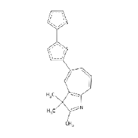 CC1=NC2=C(C=C(c3ccc(-c4cccs4)s3)C=C=C2)C1(C)C